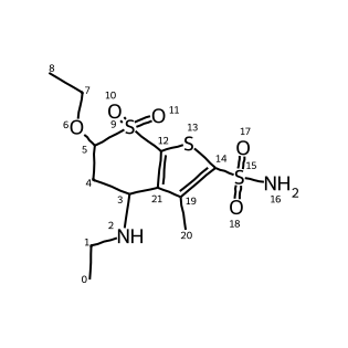 CCNC1CC(OCC)S(=O)(=O)c2sc(S(N)(=O)=O)c(C)c21